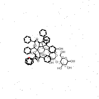 O=C(O[C@@]1(C(=O)c2ccccc2)[C@@](OC(=O)c2ccccc2)(C(=O)c2ccccc2)[C@](OC(=O)c2ccccc2)(C(=O)c2ccccc2)[C@@H](O[C@H]2[C@H](O)[C@@H](O)[C@@H](O[C@H]3[C@H](O)[C@@H](O)C(O)O[C@@H]3CO)O[C@@H]2CO)O[C@]1(C(=O)c1ccccc1)C(O)C(=O)c1ccccc1)c1ccccc1